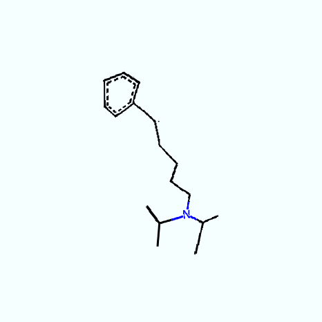 CC(C)N(CCCC[CH]c1ccccc1)C(C)C